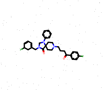 O=C(CCCN1CCC2(CC1)C(=O)N(CC1=CC=CC(F)C1)CN2c1ccccc1)c1ccc(F)cc1